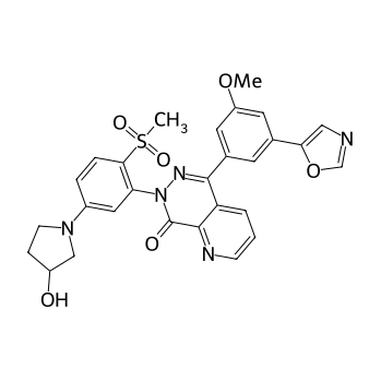 COc1cc(-c2cnco2)cc(-c2nn(-c3cc(N4CCC(O)C4)ccc3S(C)(=O)=O)c(=O)c3ncccc23)c1